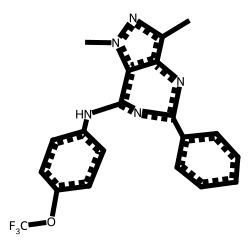 Cc1nn(C)c2c(Nc3ccc(OC(F)(F)F)cc3)nc(-c3ccccc3)nc12